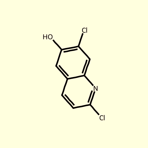 Oc1cc2ccc(Cl)nc2cc1Cl